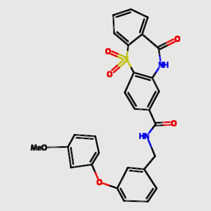 COc1cccc(Oc2cccc(CNC(=O)c3ccc4c(c3)NC(=O)c3ccccc3S4(=O)=O)c2)c1